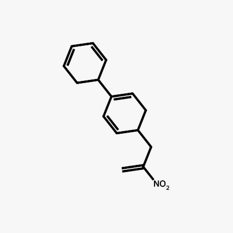 C=C(CC1C=CC(C2C=CC=CC2)=CC1)[N+](=O)[O-]